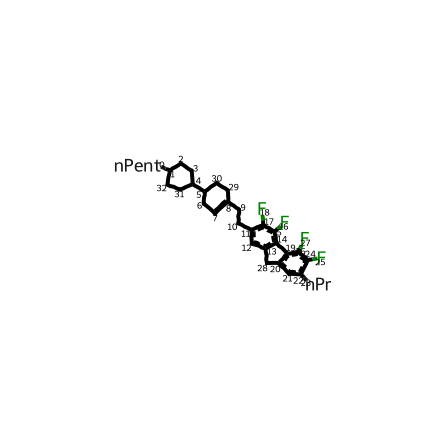 CCCCCC1CCC(C2CC=C(CCc3cc4c(c(F)c3F)-c3c(cc(CCC)c(F)c3F)C4)CC2)CC1